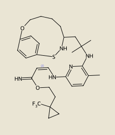 Cc1ccc(N/C=C\C(=N)OCCC2(C(F)(F)F)CC2)nc1NC(C)(C)CC1CCCCOc2ccc(cc2)SN1